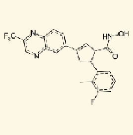 Cc1c(F)cccc1C1CC(c2ccc3nc(C(F)(F)F)cnc3c2)=CC1C(=O)NO